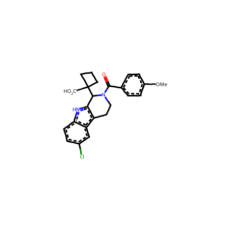 COc1ccc(C(=O)N2CCc3c([nH]c4ccc(Cl)cc34)C2C2(C(=O)O)CCC2)cc1